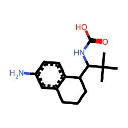 CC(C)(C)C(NC(=O)O)C1CCCc2cc(N)ccc21